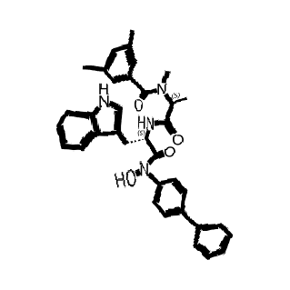 Cc1cc(C)cc(C(=O)N(C)[C@@H](C)C(=O)N[C@@H](Cc2c[nH]c3ccccc23)C(=O)N(O)c2ccc(-c3ccccc3)cc2)c1